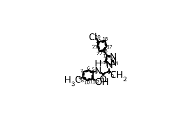 C=C(C(=O)Nc1ccc(C)cc1O)n1cc(-c2ccc(Cl)cc2)nn1